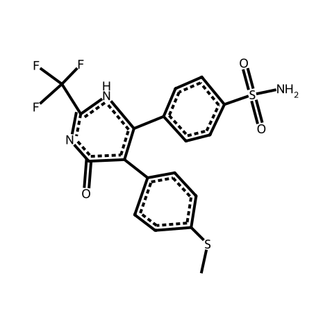 CSc1ccc(-c2c(-c3ccc(S(N)(=O)=O)cc3)[nH]c(C(F)(F)F)nc2=O)cc1